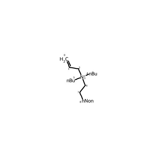 C=CC[N+](CCCC)(CCCC)CCCCCCCCCCC